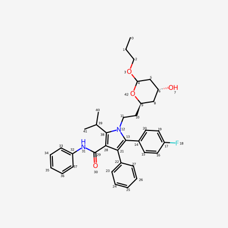 CCCOC1C[C@H](O)C[C@@H](CCn2c(-c3ccc(F)cc3)c(-c3ccccc3)c(C(=O)Nc3ccccc3)c2C(C)C)O1